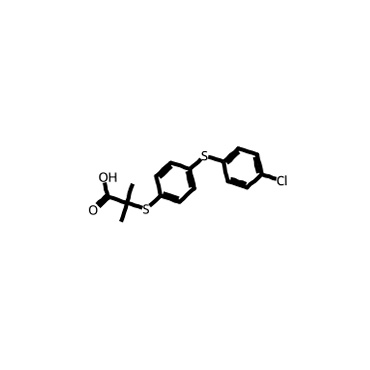 CC(C)(Sc1ccc(Sc2ccc(Cl)cc2)cc1)C(=O)O